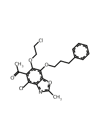 CC(=O)c1c(OCCCl)c(OCCCc2ccccc2)c2oc(C)nc2c1Cl